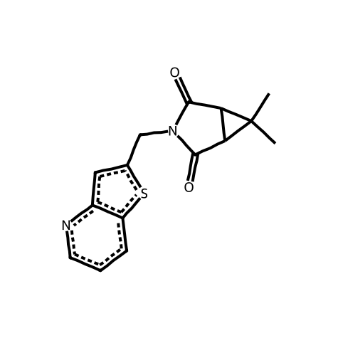 CC1(C)C2C(=O)N(Cc3cc4ncccc4s3)C(=O)C21